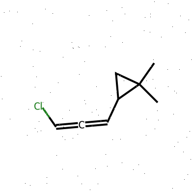 CC1(C)CC1C=C=CCl